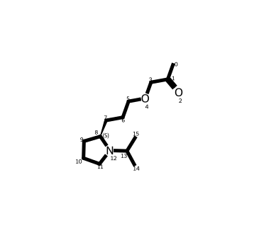 CC(=O)COCCC[C@@H]1CCCN1C(C)C